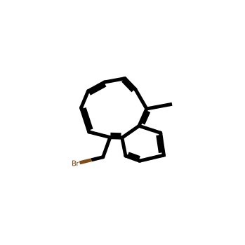 Cc1ccccccc(CBr)c2ccccc12